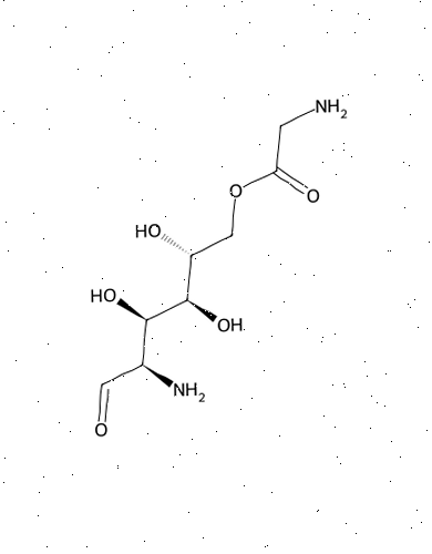 NCC(=O)OC[C@@H](O)[C@@H](O)[C@H](O)[C@@H](N)C=O